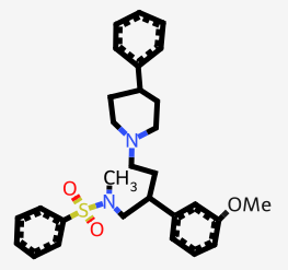 COc1cccc(C(CCN2CCC(c3ccccc3)CC2)CN(C)S(=O)(=O)c2ccccc2)c1